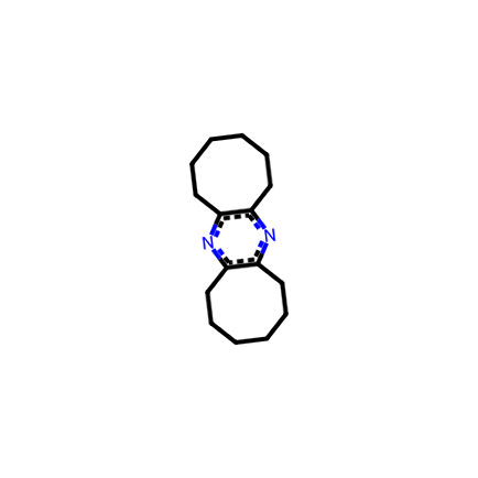 C1CCCc2nc3c(nc2CC1)CCCCCC3